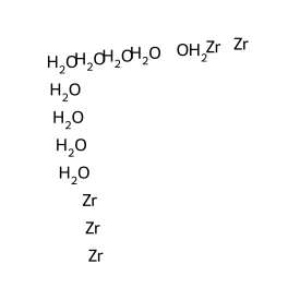 O.O.O.O.O.O.O.O.O.[Zr].[Zr].[Zr].[Zr].[Zr]